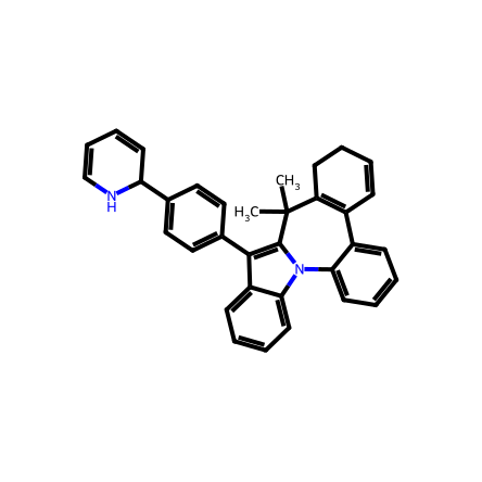 CC1(C)C2=C(C=CCC2)c2ccccc2-n2c1c(-c1ccc(C3C=CC=CN3)cc1)c1ccccc12